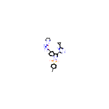 Cc1ccc(S(=O)(=O)n2cc(-c3cncc(C4CC4)n3)c3cc(-c4nnc(N5CCCC5)o4)ccc32)cc1